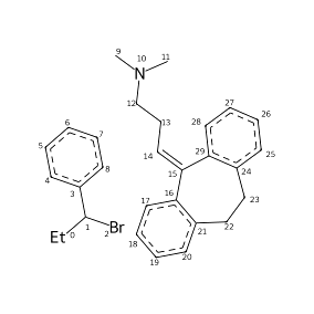 CCC(Br)c1ccccc1.CN(C)CCC=C1c2ccccc2CCc2ccccc21